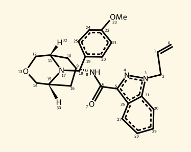 C=CCn1nc(C(=O)N[C@H]2C[C@H]3COC[C@@H](C2)N3Cc2ccc(OC)cc2)c2ccccc21